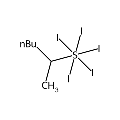 CCCCC(C)S(I)(I)(I)(I)I